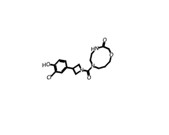 O=C1COCCCN(C(=O)N2CC(c3ccc(O)c(Cl)c3)C2)CCN1